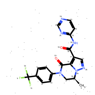 C[C@H]1CN(c2ccc(C(F)(F)F)cc2)C(=O)c2c(C(=O)Nc3ccncn3)cnn21